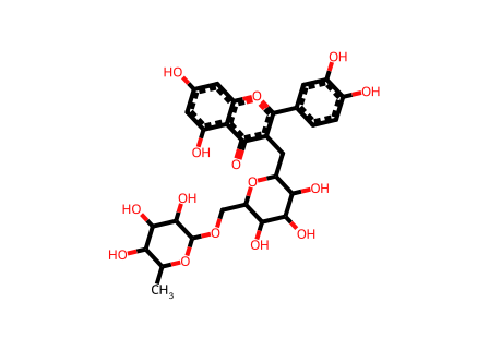 CC1OC(OCC2OC(Cc3c(-c4ccc(O)c(O)c4)oc4cc(O)cc(O)c4c3=O)C(O)C(O)C2O)C(O)C(O)C1O